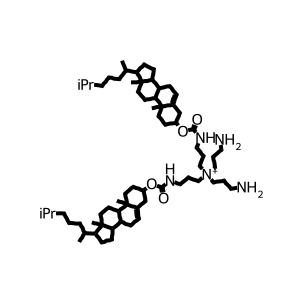 CC(C)CCCC(C)C1CCC2C3CC=C4CC(OC(=O)NCCC[N+](CCCN)(CCCN)CCCNC(=O)OC5CCC6(C)C(=CCC7C6CCC6(C)C(C(C)CCCC(C)C)CCC76)C5)CCC4(C)C3CCC12C